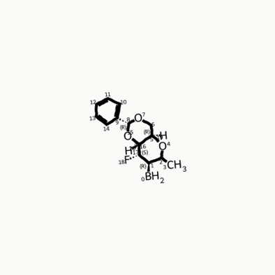 B[C@@H]1C(C)O[C@@H]2CO[C@@H](c3ccccc3)O[C@H]2[C@H]1F